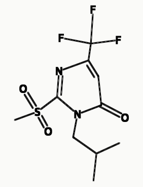 CC(C)Cn1c(S(C)(=O)=O)nc(C(F)(F)F)cc1=O